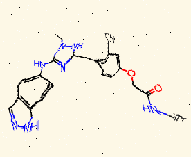 CC(C)NC(=O)COc1ccc(C2N=C(Nc3ccc4[nH]ncc4c3)N(C)N2)c(C#N)c1